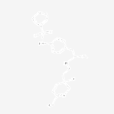 CC(Cc1ccc(NS(=O)(=O)c2ccccc2)cc1)NCCC1(O)C=CC(N)=NC1